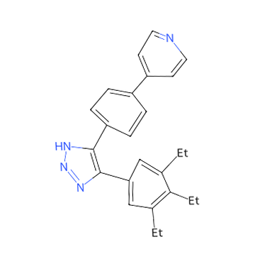 CCc1cc(-c2nn[nH]c2-c2ccc(-c3ccncc3)cc2)cc(CC)c1CC